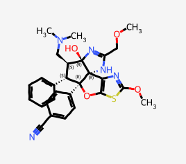 COCC1=N[C@@]2(O)[C@H](CN(C)C)[C@@H](c3ccccc3)[C@]3(c4ccc(C#N)cc4)Oc4sc(OC)nc4[C@]23N1